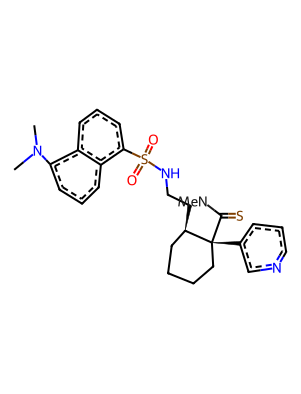 CNC(=S)[C@]1(c2cccnc2)CCCC[C@H]1CCNS(=O)(=O)c1cccc2c(N(C)C)cccc12